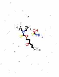 CC=CC(=O)CCOC(=S)N(CC)CC.NC(O)=S